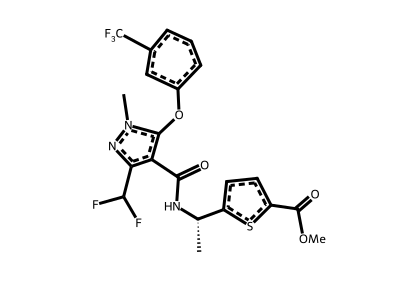 COC(=O)c1ccc([C@H](C)NC(=O)c2c(C(F)F)nn(C)c2Oc2cccc(C(F)(F)F)c2)s1